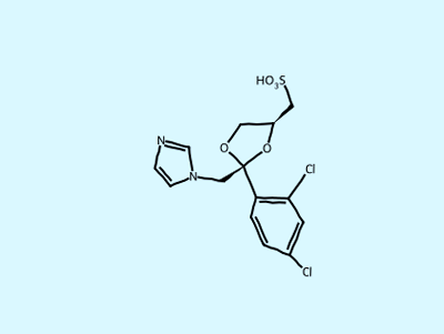 O=S(=O)(O)C[C@@H]1CO[C@@](Cn2ccnc2)(c2ccc(Cl)cc2Cl)O1